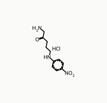 Cl.NCC(=O)CCCNc1ccc([N+](=O)[O-])cc1